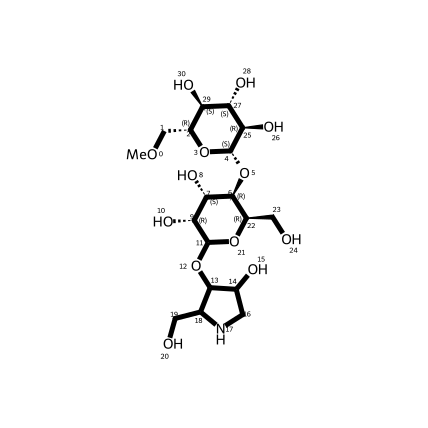 COC[C@H]1O[C@@H](O[C@@H]2[C@@H](O)[C@@H](O)C(OC3C(O)CNC3CO)O[C@@H]2CO)[C@H](O)[C@@H](O)[C@@H]1O